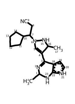 CC1N=C(C2=CN(C(CC#N)C3CCCC3)NC2C)c2cc[nH]c2N1